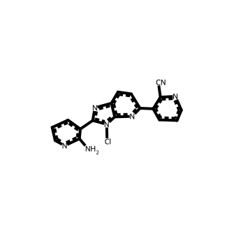 N#Cc1ncccc1-c1ccc2nc(-c3cccnc3N)n(Cl)c2n1